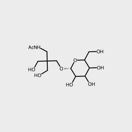 CC(=O)NCC(CO)(CO)CO[C@@H]1OC(CO)C(O)C(O)C1O